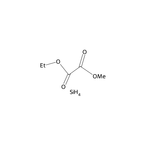 CCOC(=O)C(=O)OC.[SiH4]